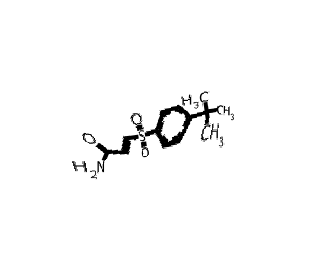 CC(C)(C)c1ccc(S(=O)(=O)/C=C/C(N)=O)cc1